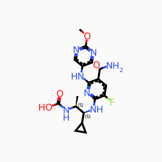 COc1ncc(Nc2nc(N[C@@H](C3CC3)[C@H](C)NC(=O)O)c(F)cc2C(N)=O)cn1